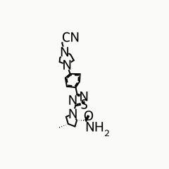 C[C@H]1C[C@@H](C(N)=O)N(c2nc(-c3ccc(N4CCN(CC#N)CC4)cc3)ns2)C1